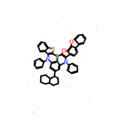 c1ccc(N2c3cc(C4CCCC5CCCCC54)cc4c3B(c3oc5c(ccc6c7ccccc7oc65)c3N4c3ccccc3)c3sc4ccccc4c32)cc1